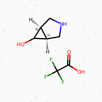 O=C(O)C(F)(F)F.OC1[C@H]2CNC[C@@H]12